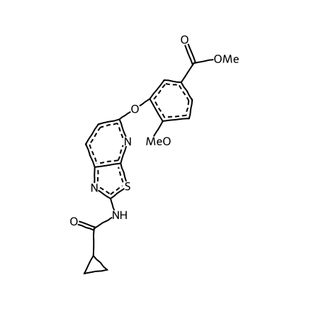 COC(=O)c1ccc(OC)c(Oc2ccc3nc(NC(=O)C4CC4)sc3n2)c1